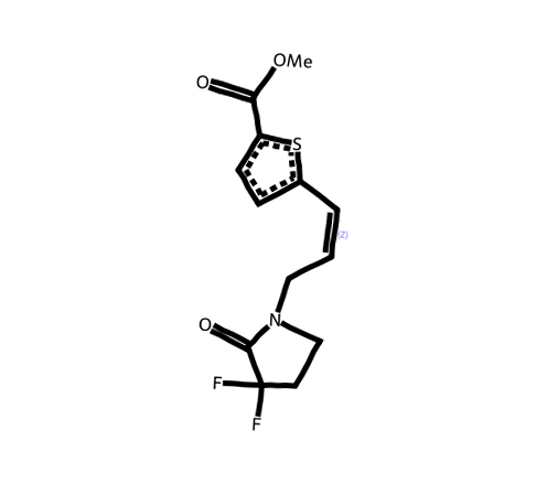 COC(=O)c1ccc(/C=C\CN2CCC(F)(F)C2=O)s1